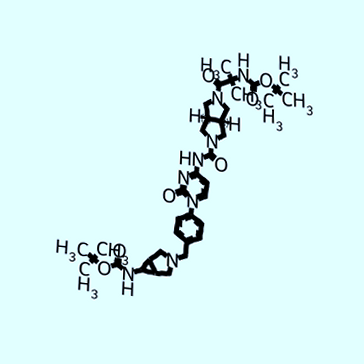 CC(C)(C)OC(=O)NC1C2CN(Cc3ccc(-n4ccc(NC(=O)N5C[C@@H]6CN(C(=O)C(C)(C)NC(=O)OC(C)(C)C)C[C@@H]6C5)nc4=O)cc3)CC21